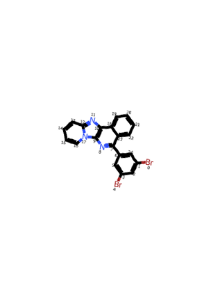 Brc1cc(Br)cc(-c2nc3c(nc4ccccn43)c3ccccc23)c1